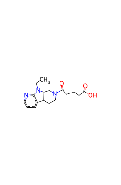 CCN1c2ncccc2C2CCN(C(=O)CCCC(=O)O)CC21